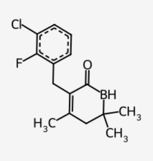 CC1=C(Cc2cccc(Cl)c2F)C(=O)BC(C)(C)C1